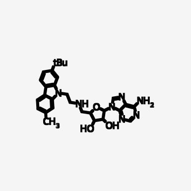 Cc1ccc2c3ccc(C(C)(C)C)cc3n(CCNCC3OC(n4cnc5c(N)ncnc54)C(O)C3O)c2c1